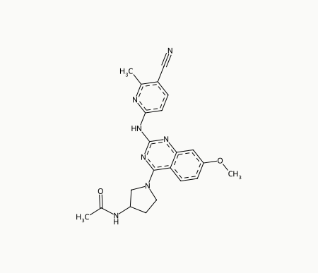 COc1ccc2c(N3CCC(NC(C)=O)C3)nc(Nc3ccc(C#N)c(C)n3)nc2c1